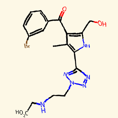 Cc1c(-c2nnn(CCNCC(=O)O)n2)[nH]c(CO)c1C(=O)c1cccc(Br)c1